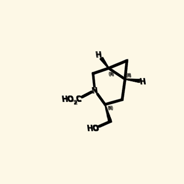 O=C(O)N1C[C@@H]2C[C@@H]2C[C@H]1CO